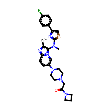 CCCc1nc2ccc(N3CCN(CC(=O)N4CCC4)CC3)cn2c1N(C)c1nc(-c2ccc(F)cc2)cs1